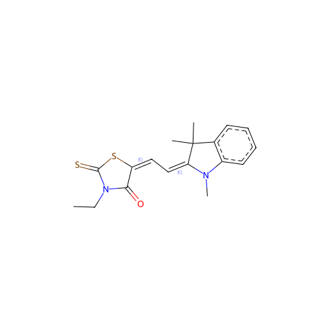 CCN1C(=O)/C(=C\C=C2\N(C)c3ccccc3C2(C)C)SC1=S